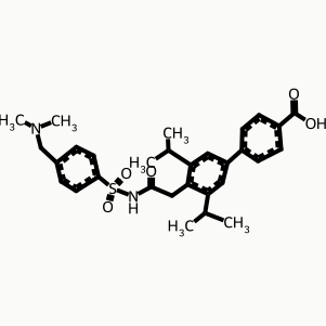 CC(C)c1cc(-c2ccc(C(=O)O)cc2)cc(C(C)C)c1CC(=O)NS(=O)(=O)c1ccc(CN(C)C)cc1